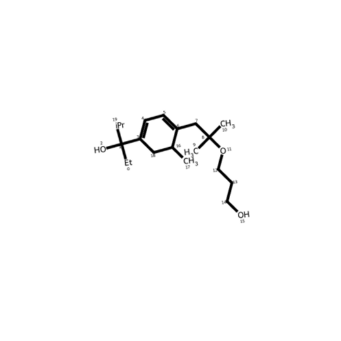 CCC(O)(C1=CC=C(CC(C)(C)OCCCO)C(C)C1)C(C)C